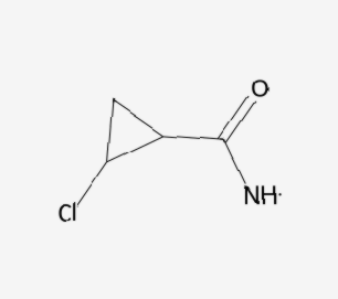 [NH]C(=O)C1CC1Cl